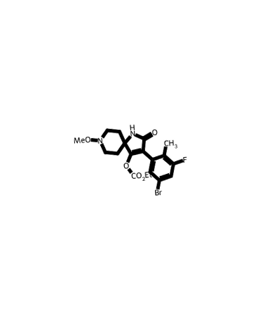 CCOC(=O)OC1=C(c2cc(Br)cc(F)c2C)C(=O)NC12CCN(OC)CC2